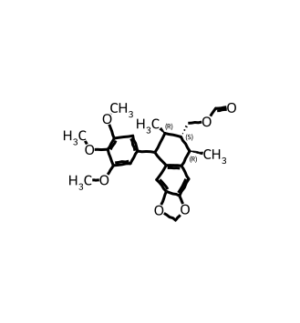 COc1cc(C2c3cc4c(cc3[C@H](C)[C@@H](COC=O)[C@@H]2C)OCO4)cc(OC)c1OC